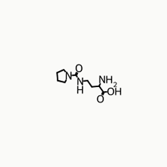 NC(CCNC(=O)N1CCCC1)C(=O)O